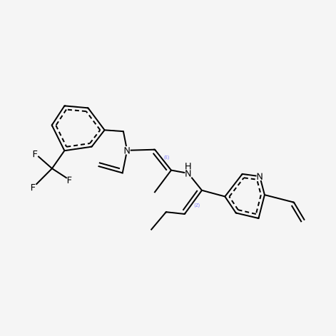 C=Cc1ccc(/C(=C/CC)N/C(C)=C/N(C=C)Cc2cccc(C(F)(F)F)c2)cn1